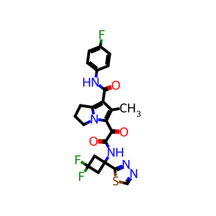 Cc1c(C(=O)Nc2ccc(F)cc2)c2n(c1C(=O)C(=O)NC1(c3nncs3)CC(F)(F)C1)CCC2